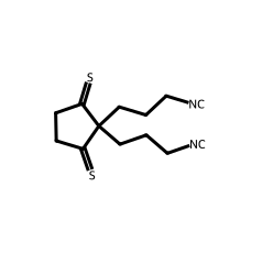 [C-]#[N+]CCCC1(CCC[N+]#[C-])C(=S)CCC1=S